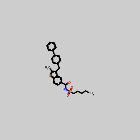 CCCCCS(=O)(=O)NC(=O)c1ccc2sc(C)c(Cc3ccc(-c4ccccc4)cc3)c2c1